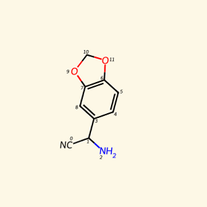 N#CC(N)c1ccc2c(c1)OCO2